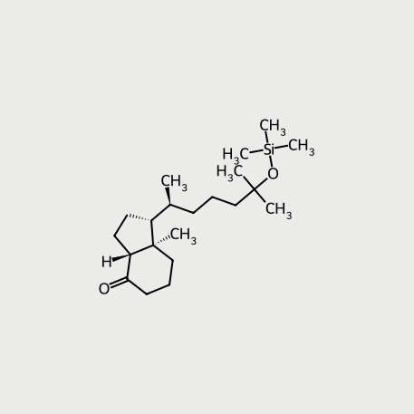 C[C@@H](CCCC(C)(C)O[Si](C)(C)C)[C@H]1CC[C@H]2C(=O)CCC[C@]12C